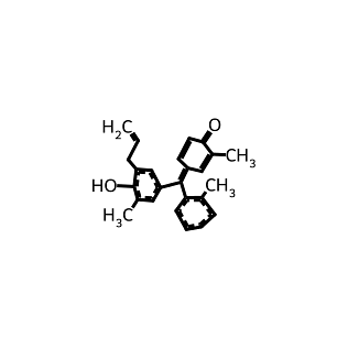 C=CCc1cc(/C(=C2\C=CC(=O)C(C)=C2)c2ccccc2C)cc(C)c1O